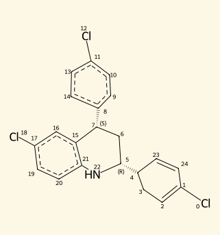 ClC1=CCC([C@H]2C[C@@H](c3ccc(Cl)cc3)c3cc(Cl)ccc3N2)C=C1